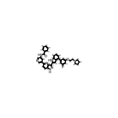 O=C(Nc1cncc(-c2ccc3[nH]nc(-c4cc5c(-c6cc(F)cc(OCCN7CCCC7)c6)cccc5[nH]4)c3n2)c1)c1ccccc1